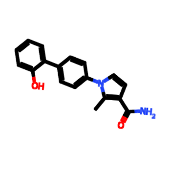 Cc1c(C(N)=O)ccn1-c1ccc(-c2ccccc2O)cc1